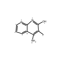 Cc1c(O)nc2ncccc2c1N